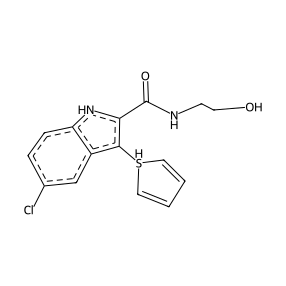 O=C(NCCO)c1[nH]c2ccc(Cl)cc2c1[SH]1C=CC=C1